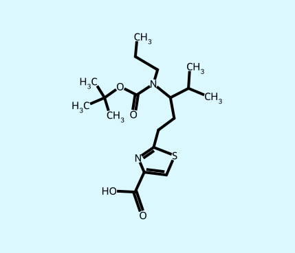 CCCN(C(=O)OC(C)(C)C)C(CCc1nc(C(=O)O)cs1)C(C)C